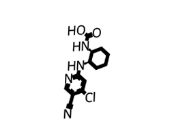 N#Cc1cnc(N[C@@H]2CCCC[C@@H]2NC(=O)O)cc1Cl